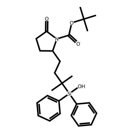 CC(C)(C)OC(=O)N1C(=O)CCC1CCC(C)(C)[Si](O)(c1ccccc1)c1ccccc1